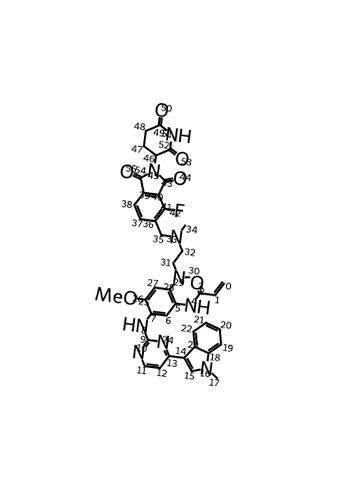 C=CC(=O)Nc1cc(Nc2nccc(-c3cn(C)c4ccccc34)n2)c(OC)cc1N(C)CCN(C)Cc1ccc2c(c1F)C(=O)N(C1CCC(=O)NC1=O)C2=O